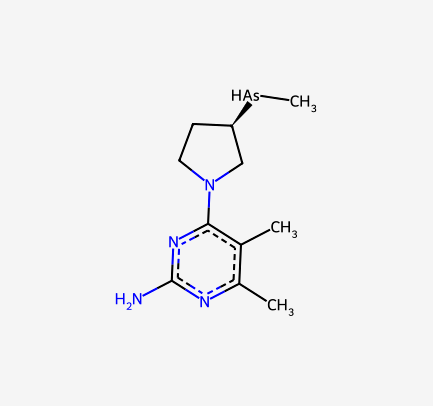 C[AsH][C@@H]1CCN(c2nc(N)nc(C)c2C)C1